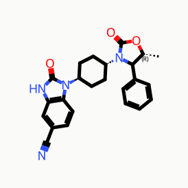 C[C@H]1OC(=O)N([C@H]2CC[C@H](n3c(=O)[nH]c4cc(C#N)ccc43)CC2)C1c1ccccc1